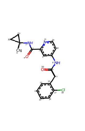 N#CC1(NC(=O)c2cc(NC(=O)Cc3ccccc3Cl)ccn2)CC1